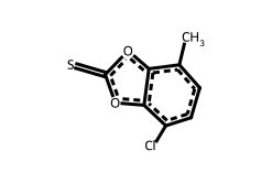 Cc1ccc(Cl)c2oc(=S)oc12